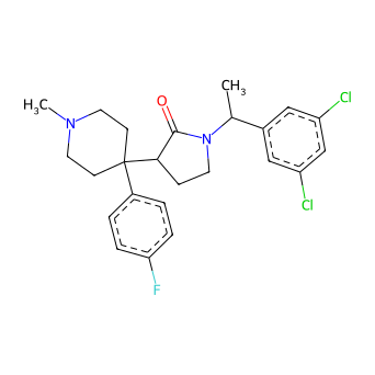 CC(c1cc(Cl)cc(Cl)c1)N1CCC(C2(c3ccc(F)cc3)CCN(C)CC2)C1=O